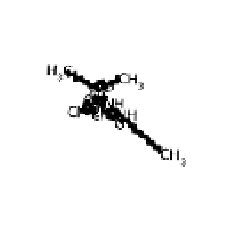 CCCCCCCCCCCCCC(=O)Nc1ccc(Cl)c(NC2=NN(c3c(Cl)cc(Cl)cc3Cl)C(=O)C2Sc2cc(CCCCCCCC)ccc2OCCCC)c1